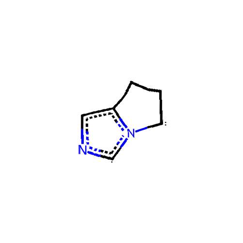 [C]1CCc2cn[c]n21